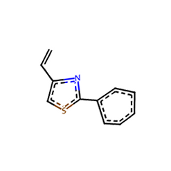 C=Cc1csc(-c2ccccc2)n1